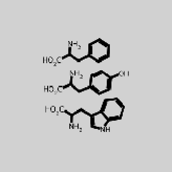 NC(Cc1c[nH]c2ccccc12)C(=O)O.NC(Cc1ccc(O)cc1)C(=O)O.NC(Cc1ccccc1)C(=O)O